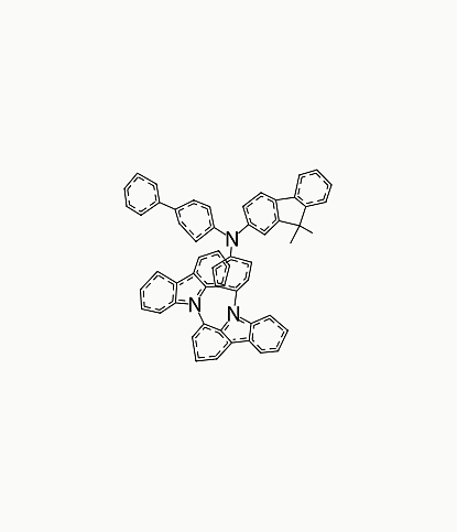 CC1(C)c2ccccc2-c2ccc(N(c3ccc(-c4ccccc4)cc3)c3ccc(-n4c5ccccc5c5cccc(-n6c7ccccc7c7ccccc76)c54)cc3)cc21